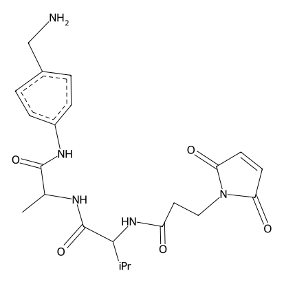 CC(NC(=O)C(NC(=O)CCN1C(=O)C=CC1=O)C(C)C)C(=O)Nc1ccc(CN)cc1